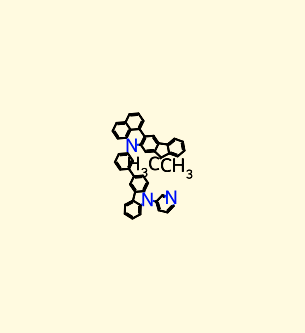 CC1(C)c2ccccc2-c2cc3c(cc21)N(c1cccc(-c2ccc4c(c2)c2ccccc2n4-c2cccnc2)c1)c1cccc2cccc-3c12